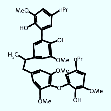 CCCc1cc(OC)c(O)c(Oc2c(OC)cc(CC(C)c3cc(OC)c(O)c(-c4cc(CCC)cc(OC)c4O)c3)cc2OC)c1